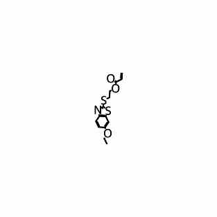 C=CC(=O)OCCSc1nc2ccc(OCC)cc2s1